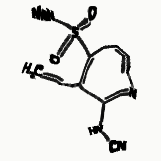 C=Cc1c(S(=O)(=O)NC)ccnc1NC#N